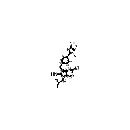 Cn1cc(C(F)(F)F)nc1-c1ccc(Cn2c(=N)n(C(F)C(F)F)c3cnc(Cl)nc32)cc1